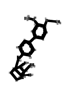 COc1ccc(-c2cnc(N[C@H]3C4CCN(CC4)[C@@H]3C)nc2)cc1OC